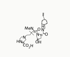 C#Cc1ccc(CNC(=O)[C@@H]2C[C@@H](O)CN2C(=O)[C@H](NC)C(C)(C)CCN2CCN[C@@H](C(=O)O)C2)cc1